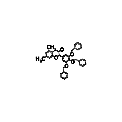 Cc1cc(C)c2c(c1)OC(c1cc(OCc3ccccc3)c(OCc3ccccc3)c(OCc3ccccc3)c1)C(=O)C2